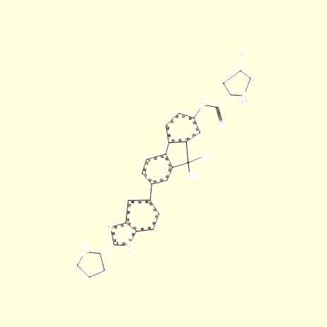 CC1(C)c2cc(NC(=O)[C@@H]3C[C@H](F)CN3)ccc2-c2ccc(-c3ccc4[nH]c([C@@H]5CCCN5)nc4c3)cc21